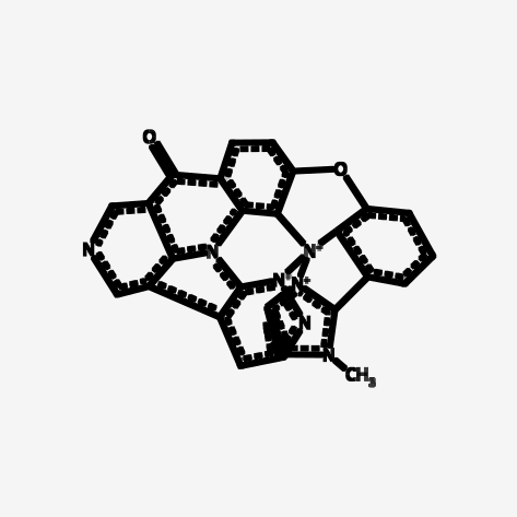 Cn1c2[n+](c3ccccc31)[N+]13c4c(cccc4-2)Oc2ccc4c(=O)c5cncc6c7ccn[n+]1c7n(c4c23)c56